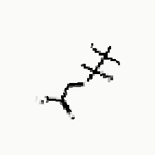 NC(=O)COC(F)(F)C(F)(F)F